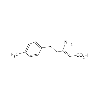 NC(=CC(=O)O)CCc1ccc(C(F)(F)F)cc1